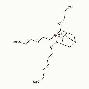 COCCOCCOC1C2CC3CC1C(OCCOCCOC)C(O3)C2OCCO